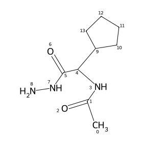 CC(=O)NC(C(=O)NN)C1CCCC1